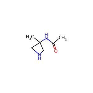 CC(=O)NC1(C)CNC1